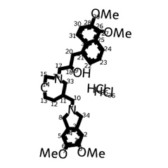 COc1cc2c(cc1OC)CN(CC1CCCCN(CC(O)Cc3cccc4c(OC)c(OC)ccc34)C1)C2.Cl.Cl